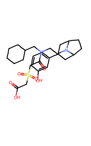 O=C(O)CS(=O)(=O)CC(=O)N(CCN1C2CCC1CC(c1cccc(O)c1)C2)CC1CCCCC1